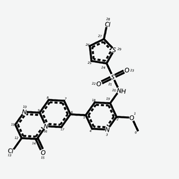 COc1ncc(-c2ccc3ncc(Cl)c(=O)n3c2)cc1NS(=O)(=O)c1ccc(Cl)s1